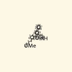 COCCCCc1cccc(CO[C@H]2CNCC[C@@H]2c2cccc(-c3ccccc3)c2)c1